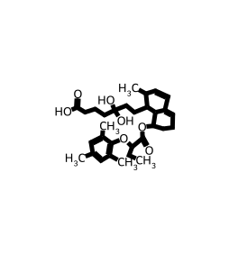 CCC(Oc1c(C)cc(C)cc1C)C(=O)OC1CCC=C2C=CC(C)C(CCC(O)(O)CCCC(=O)O)C21